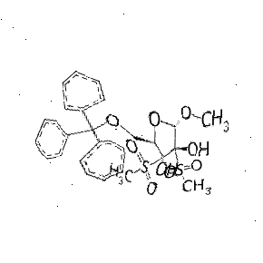 CO[C@H]1O[C@H](COC(c2ccccc2)(c2ccccc2)c2ccccc2)[C@](O)(S(C)(=O)=O)[C@@]1(O)S(C)(=O)=O